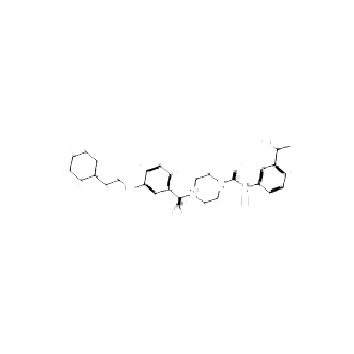 CC(O)c1cccc(NC(=O)N2CCN(C(=O)c3cccc(OCCC4CCCCC4)c3)CC2)c1